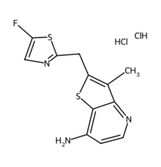 Cc1c(Cc2ncc(F)s2)sc2c(N)ccnc12.Cl.Cl